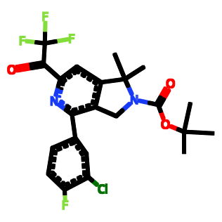 CC(C)(C)OC(=O)N1Cc2c(cc(C(=O)C(F)(F)F)nc2-c2ccc(F)c(Cl)c2)C1(C)C